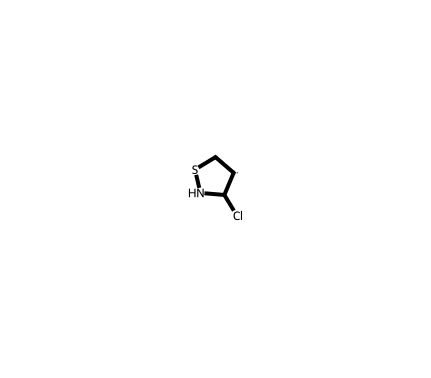 ClC1[CH]CSN1